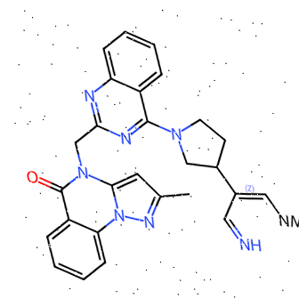 CN/C=C(\C=N)C1CCN(c2nc(Cn3c(=O)c4ccccc4n4nc(C)cc34)nc3ccccc23)C1